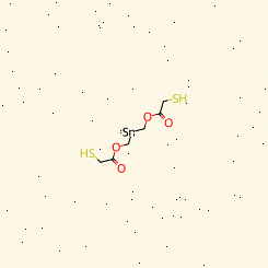 O=C(CS)O[CH2][Sn][CH2]OC(=O)CS